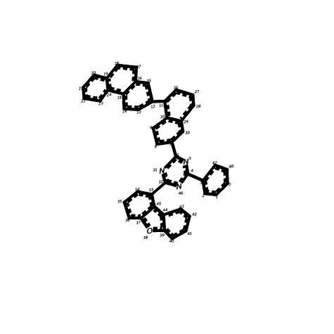 c1ccc(-c2nc(-c3ccc4c(-c5ccc6c(ccc7ccccc76)c5)cccc4c3)nc(-c3cccc4oc5ccccc5c34)n2)cc1